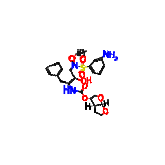 CC(C)ON(C[C@@H](O)[C@H](Cc1ccccc1)NC(=O)OC1CO[C@H]2OCC[C@@H]12)S(=O)(=O)c1cccc(N)c1